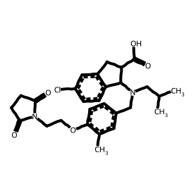 Cc1cc(CN(CC(C)C)C2c3ccc(Cl)cc3CC2C(=O)O)ccc1OCCN1C(=O)CCC1=O